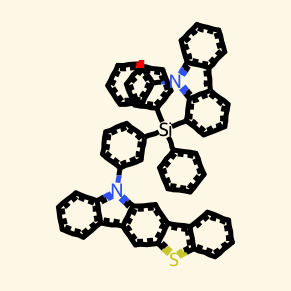 c1ccc(-n2c3ccccc3c3cccc([Si](c4ccccc4)(c4ccccc4)c4cccc(-n5c6ccccc6c6cc7sc8ccccc8c7cc65)c4)c32)cc1